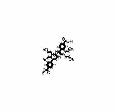 COCCN(CCOC)c1nc(-c2ccc(C(=O)O)cc2)c(N(CCOC)CCOC)nc1C=Cc1ccc(C(=O)OC)cc1